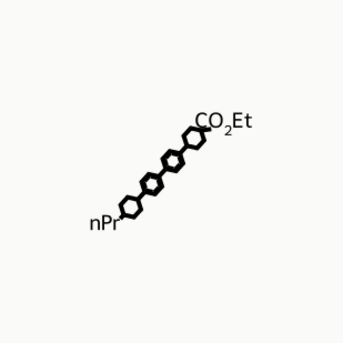 CCCC1CCC(c2ccc(-c3ccc(C4CCC(C)(C(=O)OCC)CC4)cc3)cc2)CC1